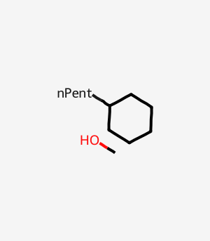 CCCCCC1CCCCC1.CO